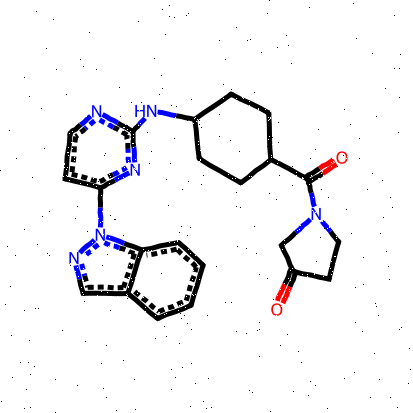 O=C1CCN(C(=O)C2CCC(Nc3nccc(-n4ncc5ccccc54)n3)CC2)C1